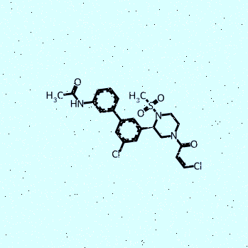 CC(=O)Nc1cccc(-c2cc(Cl)cc([C@@H]3CN(C(=O)/C=C\Cl)CCN3S(C)(=O)=O)c2)c1